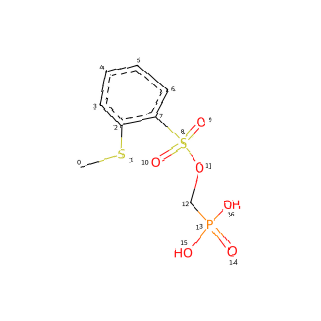 CSc1ccccc1S(=O)(=O)OCP(=O)(O)O